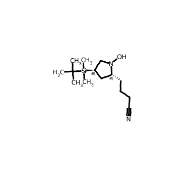 CC(C)(C)[Si](C)(C)[C@@H]1C[C@@H](CCCC#N)N(O)C1